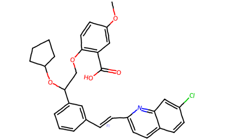 COc1ccc(OCC(OC2CCCC2)c2cccc(/C=C/c3ccc4ccc(Cl)cc4n3)c2)c(C(=O)O)c1